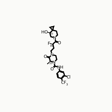 C[C@H]1C(=O)N(CC[C@@H](F)C(=O)N2CCC3(CC3)[C@H](O)C2)CCN1C(=O)Nc1ccc(C(F)(F)F)c(Cl)c1